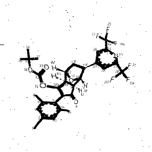 Cc1cc(C)c(C2C(=O)[C@@H]3[C@@H]4O[C@@H](C[C@H]4c4cc(C(F)(F)F)nc(C(F)(F)F)c4)[C@@H]3C2OC(=O)OC(C)(C)C)c(C)c1